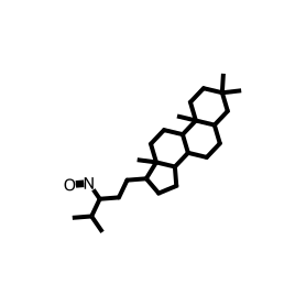 CC(C)C(CCC1CCC2C3CCC4CC(C)(C)CCC4(C)C3CCC12C)N=O